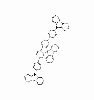 c1ccc2c(c1)-c1ccccc1C21c2cc(-c3ccc(-n4c5ccccc5c5ccccc54)cc3)ccc2-c2ccc(-c3ccc(-n4c5ccccc5c5ccccc54)cc3)cc21